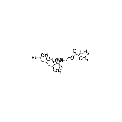 C=C(C)C(=O)OCCNC(=O)OC(C)CC(CC(O)CC)OC=O